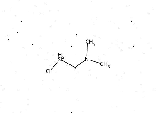 CN(C)[CH][SiH2]Cl